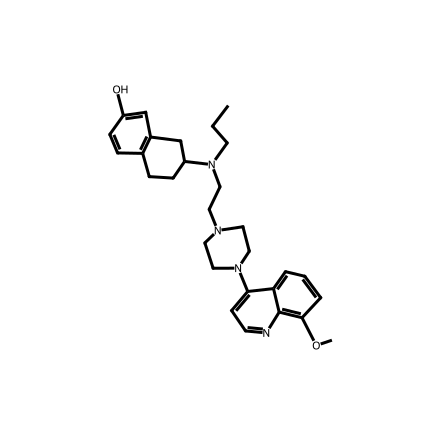 CCCN(CCN1CCN(c2ccnc3c(OC)cccc23)CC1)C1CCc2ccc(O)cc2C1